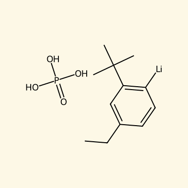 O=P(O)(O)O.[Li][c]1ccc(CC)cc1C(C)(C)C